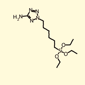 CCO[Si](CCCCCCn1nnc(N)n1)(OCC)OCC